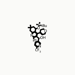 CC(C)c1nc2c(c(C3=CCOCC3)c1[C@H](O)c1ccc(C(F)(F)F)nc1)C(O[Si](C)(C)C(C)(C)C)CC(C)(C)C2